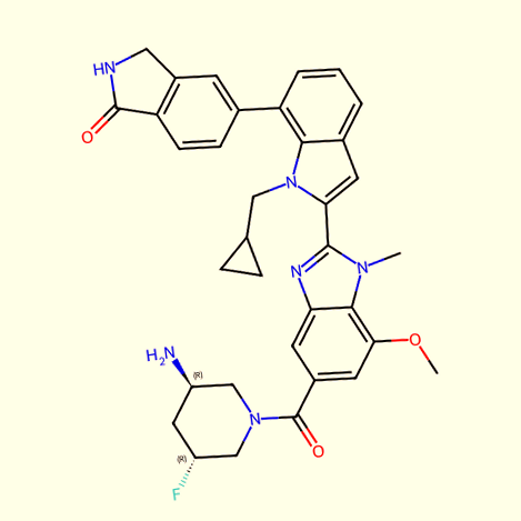 COc1cc(C(=O)N2C[C@H](N)C[C@@H](F)C2)cc2nc(-c3cc4cccc(-c5ccc6c(c5)CNC6=O)c4n3CC3CC3)n(C)c12